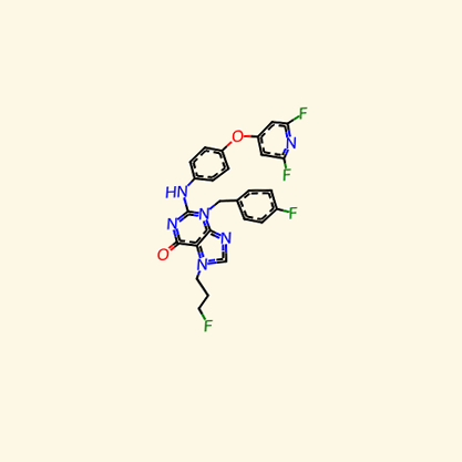 O=c1nc(Nc2ccc(Oc3cc(F)nc(F)c3)cc2)n(Cc2ccc(F)cc2)c2ncn(CCCF)c12